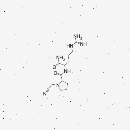 N#CCN1CCCC1C(=O)NC(CCCNC(=N)N)C(N)=O